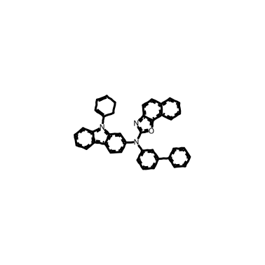 C1=CCCC(n2c3ccccc3c3ccc(N(c4cccc(-c5ccccc5)c4)c4nc5ccc6ccccc6c5o4)cc32)=C1